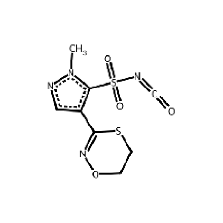 Cn1ncc(C2=NOCCS2)c1S(=O)(=O)N=C=O